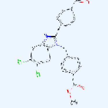 COC(=O)c1ccc(Cn2c(-c3ccc(C=O)cc3)nc3cc(Cl)c(Cl)cc32)cc1